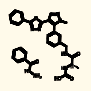 C[C@H](NC(=O)O)C(=O)NCc1cccc(-c2c(-c3nnc(-c4ccccc4)o3)cnn2C)c1.NNC(=O)c1ccccc1